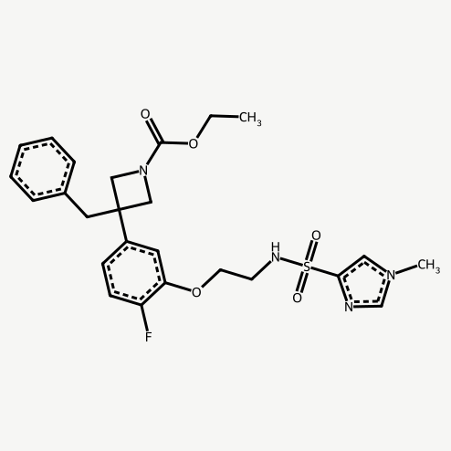 CCOC(=O)N1CC(Cc2ccccc2)(c2ccc(F)c(OCCNS(=O)(=O)c3cn(C)cn3)c2)C1